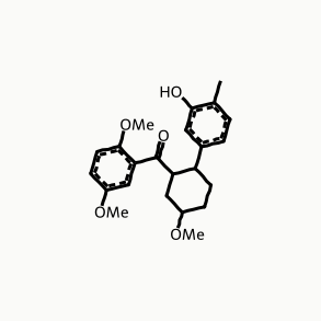 COc1ccc(OC)c(C(=O)C2CC(OC)CCC2c2ccc(C)c(O)c2)c1